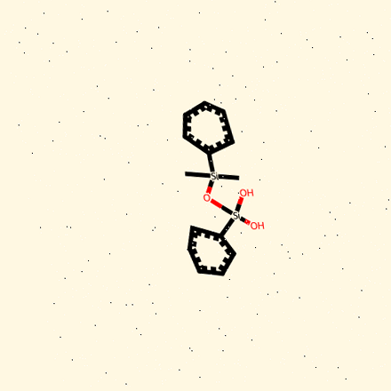 C[Si](C)(O[Si](O)(O)c1ccccc1)c1ccccc1